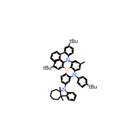 Cc1cc2c3c(c1)N(c1ccc(C(C)(C)C)cc1-c1ccccc1)c1ccc(C(C)(C)C)cc1B3c1ccc(N3c4ccccc4C4(C)CCCCCC34C)cc1N2c1ccc(C(C)(C)C)cc1